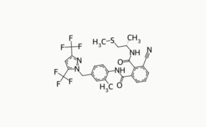 CSC[C@H](C)NC(=O)c1c(C#N)cccc1C(=O)Nc1ccc(Cn2nc(C(F)(F)F)cc2C(F)(F)F)cc1C